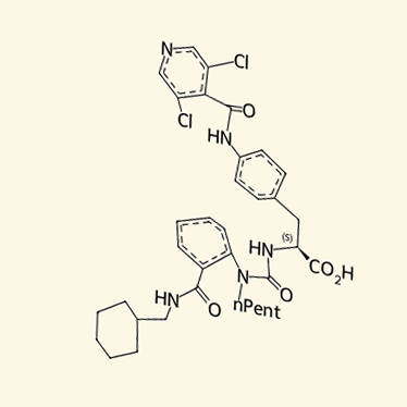 CCCCCN(C(=O)N[C@@H](Cc1ccc(NC(=O)c2c(Cl)cncc2Cl)cc1)C(=O)O)c1ccccc1C(=O)NCC1CCCCC1